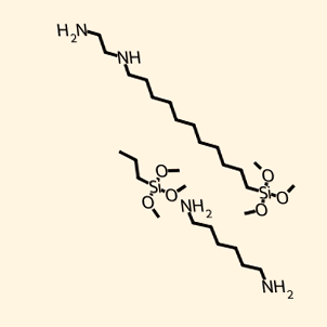 CCC[Si](OC)(OC)OC.CO[Si](CCCCCCCCCCCNCCN)(OC)OC.NCCCCCCN